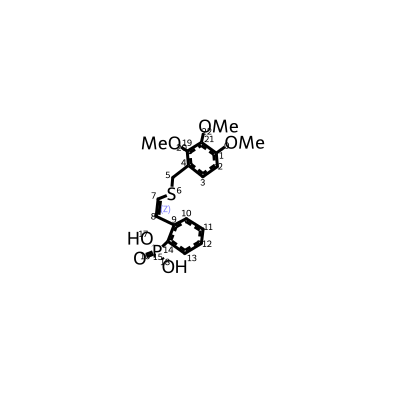 COc1ccc(CS/C=C\c2ccccc2P(=O)(O)O)c(OC)c1OC